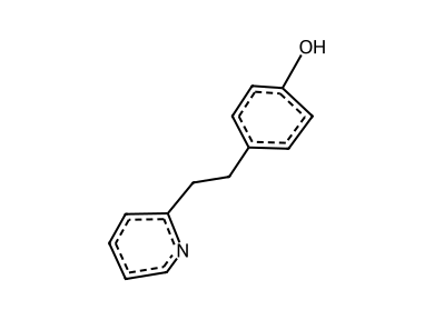 Oc1ccc(CCc2ccccn2)cc1